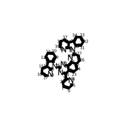 c1ccc(-c2nc(-n3c4ccccc4c4cccnc43)nc3c2ccc2ccc(-n4c5ccccc5c5cccnc54)nc23)nc1